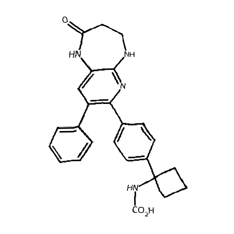 O=C(O)NC1(c2ccc(-c3nc4c(cc3-c3ccccc3)NC(=O)CCN4)cc2)CCC1